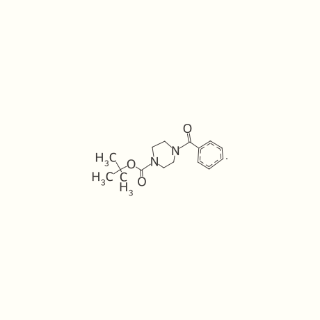 CC(C)(C)OC(=O)N1CCN(C(=O)c2cc[c]cc2)CC1